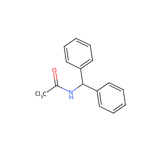 O=C(NC(c1ccccc1)c1ccccc1)C(Cl)(Cl)Cl